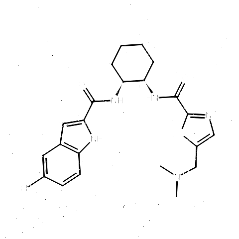 CN(C)Cc1cnc(C(=O)N[C@@H]2CCCC[C@@H]2NC(=O)c2cc3cc(Cl)ccc3[nH]2)s1